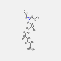 CC=CN(C=CC)CC=C(C)CCC=C(C)CCC=C(C)C